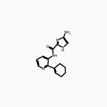 Nc1c[nH]c(C(=O)Nc2cccnc2C2=CCCCC2)n1